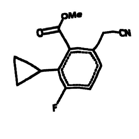 COC(=O)c1c(CC#N)ccc(F)c1C1CC1